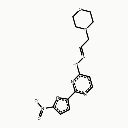 O=[N+]([O-])c1ccc(-c2nccc(NN=CCN3CCOCC3)n2)o1